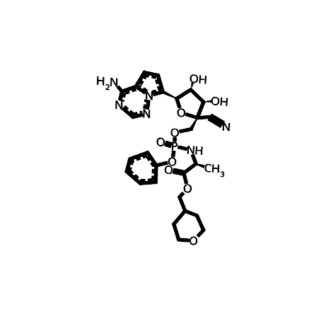 C[C@H](NP(=O)(OC[C@@]1(C#N)O[C@@H](c2ccc3c(N)ncnn23)[C@H](O)[C@@H]1O)Oc1ccccc1)C(=O)OCC1CCOCC1